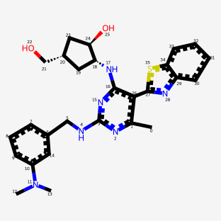 Cc1nc(NCc2cccc(N(C)C)c2)nc(N[C@@H]2C[C@H](CO)C[C@H]2O)c1-c1nc2ccccc2s1